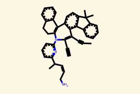 C#CC1=C(C#CC)c2c(ccc3c2-c2ccccc2C3(C)C)C2=C(CCc3ccccc32)N1c1cccc(C(C)/C=C\CN)n1